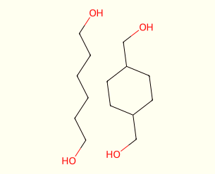 OCC1CCC(CO)CC1.OCCCCCCO